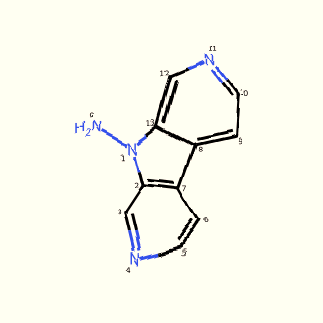 Nn1c2cnccc2c2ccncc21